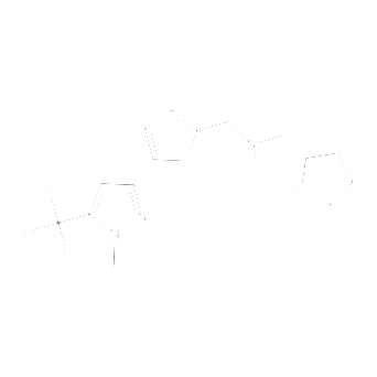 Cn1nc(-c2ccc(CNC[C@@H]3CCCO3)s2)cc1C(F)(F)F